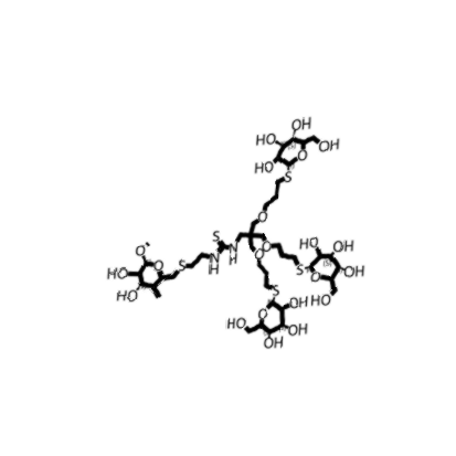 CO[C@H]1OC(CSCCNC(=S)NCC(COCCCS[C@H]2OC(CO)[C@@H](O)[C@H](O)C2O)(COCCCS[C@H]2OC(CO)[C@@H](O)[C@H](O)C2O)COCCCS[C@H]2OC(CO)[C@@H](O)[C@H](O)C2O)C(C)[C@H](O)C1O